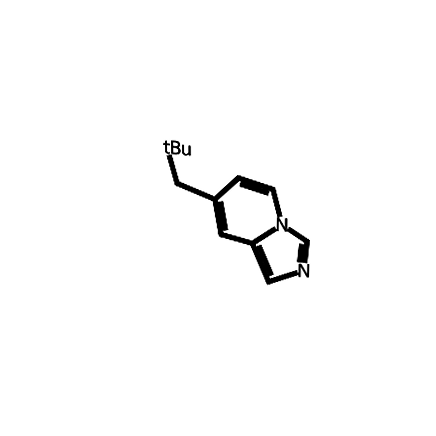 CC(C)(C)Cc1ccn2cncc2c1